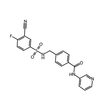 N#Cc1cc(S(=O)(=O)NCc2ccc(C(=O)Nc3cccnc3)cc2)ccc1F